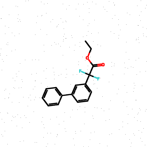 CCOC(=O)C(F)(F)c1cccc(-c2ccccc2)c1